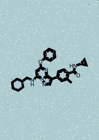 Cc1cc(-c2cnn3c(NCC4CCCCC4)cc(Oc4ccccc4)nc23)ccc1C(=O)NC1CC1